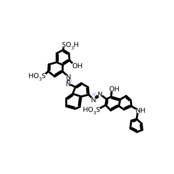 O=S(=O)(O)c1cc(O)c2c(/N=N/c3ccc(/N=N/c4c(S(=O)(=O)O)cc5cc(Nc6ccccc6)ccc5c4O)c4ccccc34)cc(S(=O)(=O)O)cc2c1